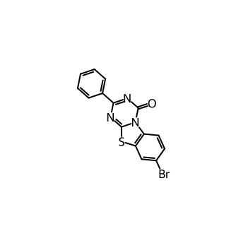 O=c1nc(-c2ccccc2)nc2sc3cc(Br)ccc3n12